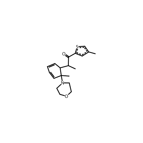 Cc1csc(C(=O)C(C)C2C=CC=CC2(C)N2CCOCC2)c1